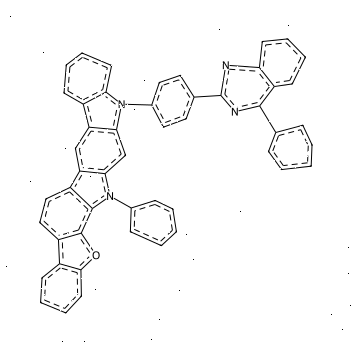 c1ccc(-c2nc(-c3ccc(-n4c5ccccc5c5cc6c7ccc8c9ccccc9oc8c7n(-c7ccccc7)c6cc54)cc3)nc3ccccc23)cc1